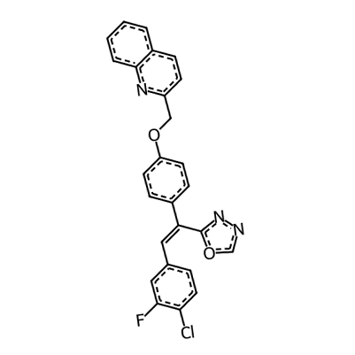 Fc1cc(/C=C(/c2ccc(OCc3ccc4ccccc4n3)cc2)c2nnco2)ccc1Cl